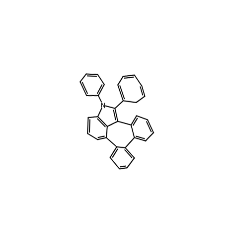 C1=CC=C(c2c3c4c(cccc4n2-c2ccccc2)-c2ccccc2-c2ccccc2-3)CC=C1